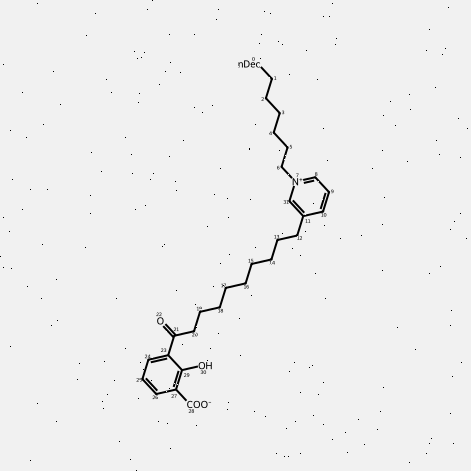 CCCCCCCCCCCCCCCC[n+]1cccc(CCCCCCCCCC(=O)c2cccc(C(=O)[O-])c2O)c1